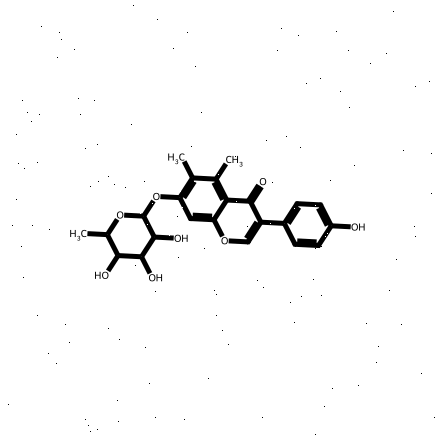 Cc1c(OC2OC(C)C(O)C(O)C2O)cc2occ(-c3ccc(O)cc3)c(=O)c2c1C